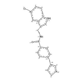 O=C(NCc1c[nH]c2ccc(Cl)cc12)c1ccc(-c2cnco2)cc1